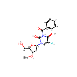 CCO[C@H]1C[C@H](n2cc(F)c(=O)n(C(=O)c3ccccc3)c2=O)O[C@@H]1CO